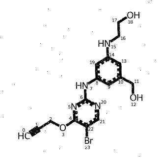 C#CCOc1nc(Nc2cc(CO)cc(NCCO)c2)ncc1Br